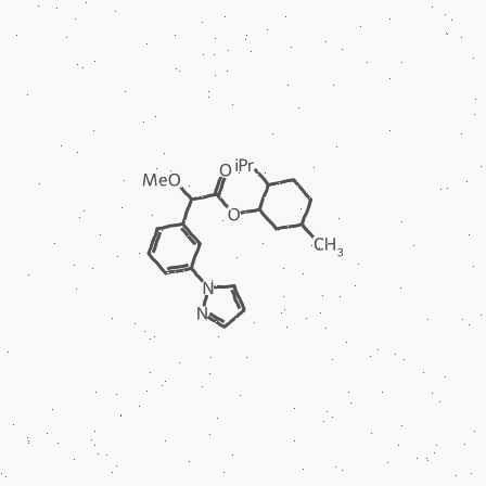 COC(C(=O)OC1CC(C)CCC1C(C)C)c1cccc(-n2cccn2)c1